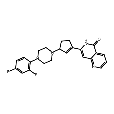 O=c1[nH]c(C2=CC(N3CCN(c4ccc(F)cc4F)CC3)CC2)cc2ncccc12